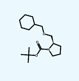 CC(C)(C)OC(=O)N1CCC[C@@H]1COCC1CCCCC1